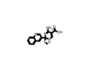 CSC1(c2cnc3ccccc3c2)N=C(N)C(C(=O)O)=CN1